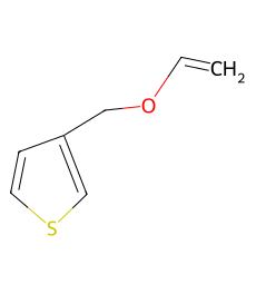 C=COCc1ccsc1